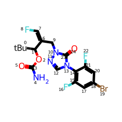 CC(C)(C)C(OC(N)=O)C(=CF)Cn1ncn(-c2c(F)cc(Br)cc2F)c1=O